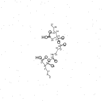 CCCCC(CC(=O)O)C(=O)OC(=O)CCCCC(=O)OC(=O)C(CCCC)CC(=O)O